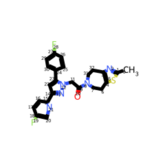 Cc1nc2c(s1)CCN(C(=O)Cn1nc(-c3ccc(F)cn3)cc1-c1ccc(F)cc1)CC2